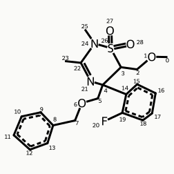 COCC1C(COCc2ccccc2)(c2ccccc2F)N=C(C)N(C)S1(=O)=O